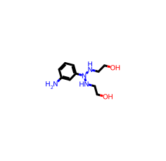 Nc1cccc(N(NCCO)NCCO)c1